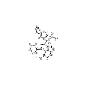 N=S(=O)(NCC(O)CN1c2ccccc2CCc2ccc(Cl)cc21)c1ccc(OC(F)(F)F)cc1